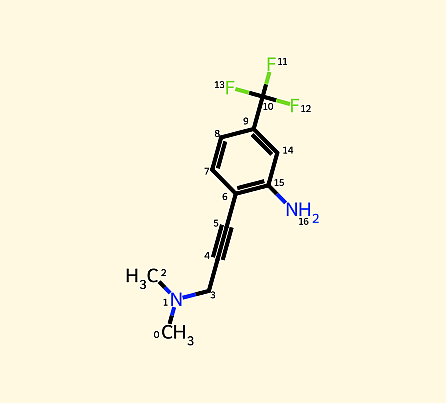 CN(C)CC#Cc1ccc(C(F)(F)F)cc1N